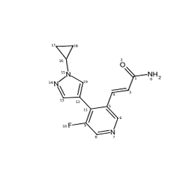 NC(=O)C=Cc1cncc(F)c1-c1cnn(C2CC2)c1